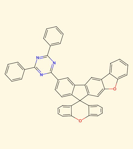 c1ccc(-c2nc(-c3ccccc3)nc(-c3ccc4c(c3)-c3cc5c(cc3C43c4ccccc4Oc4ccccc43)oc3ccccc35)n2)cc1